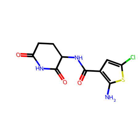 Nc1sc(Cl)cc1C(=O)NC1CCC(=O)NC1=O